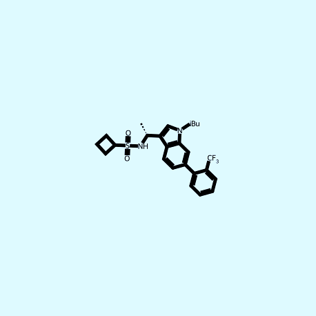 CCC(C)n1cc([C@@H](C)NS(=O)(=O)C2CCC2)c2ccc(-c3ccccc3C(F)(F)F)cc21